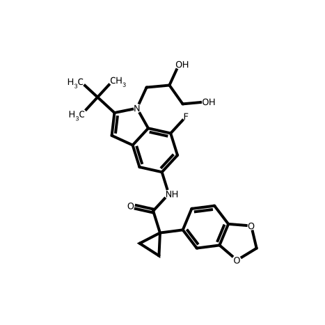 CC(C)(C)c1cc2cc(NC(=O)C3(c4ccc5c(c4)OCO5)CC3)cc(F)c2n1CC(O)CO